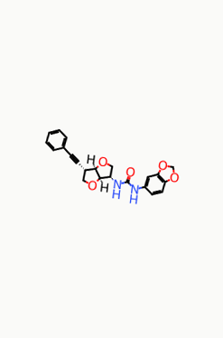 O=C(Nc1ccc2c(c1)OCO2)N[C@H]1CO[C@H]2[C@@H]1OC[C@@H]2C#Cc1ccccc1